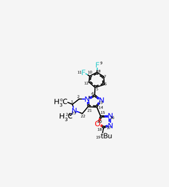 CC1Cn2c(-c3ccc(F)c(F)c3)nc(-c3nnc(C(C)(C)C)o3)c2CN1C